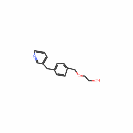 OCCOCc1ccc(Cc2cccnc2)cc1